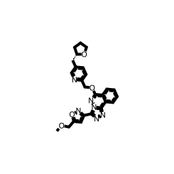 COCc1cc(-c2nnc3c4ccccc4c(OCc4ccc(C[C@@H]5CCCO5)cn4)nn23)no1